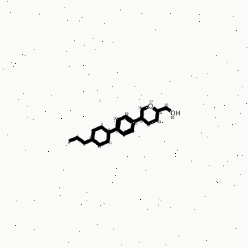 CCCC1CCC(c2ccc(C3CCC(CO)OC3)cc2)CC1